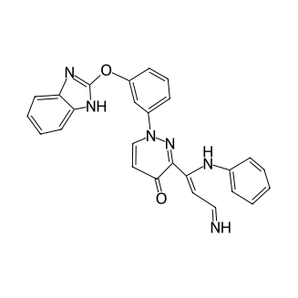 N=C/C=C(\Nc1ccccc1)c1nn(-c2cccc(Oc3nc4ccccc4[nH]3)c2)ccc1=O